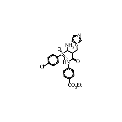 CCOC(=O)c1ccc(NC(=O)C(Cn2ccnc2)C(N)S(=O)(=O)c2ccc(Cl)cc2)cc1